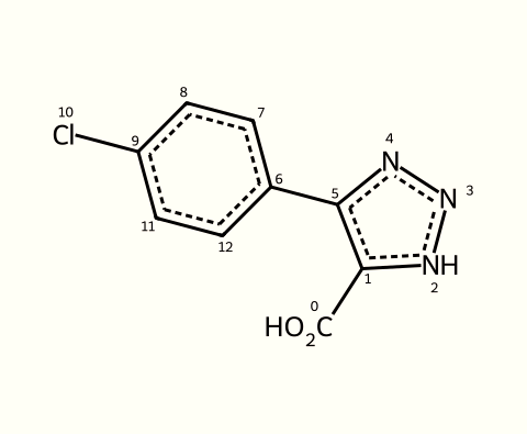 O=C(O)c1[nH]nnc1-c1ccc(Cl)cc1